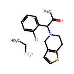 COC(=O)C(c1ccccc1Cl)N1CCc2sccc2C1.O=C(O)CC(=O)O